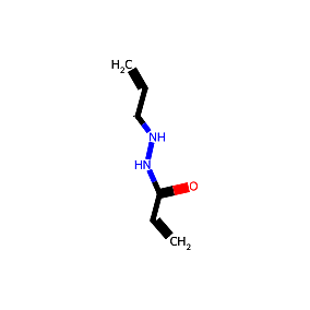 C=C[CH]NNC(=O)C=C